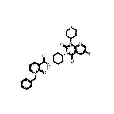 O=C(N[C@H]1CC[C@@H](n2c(=O)c3cc(F)cnc3n(C3CCSCC3)c2=O)CC1)c1cccn(Cc2ccccc2)c1=O